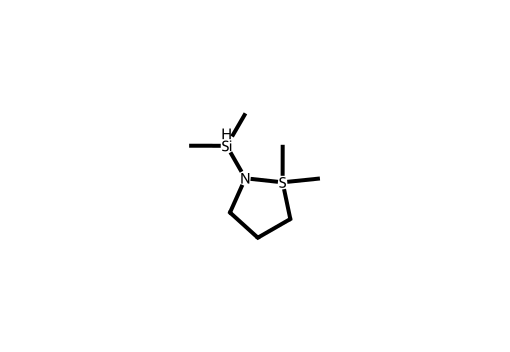 C[SiH](C)N1CCCS1(C)C